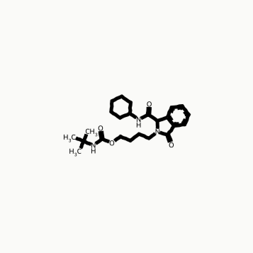 CC(C)(C)NC(=O)OCCCCN1C(=O)c2ccccc2C1C(=O)NC1CCCCC1